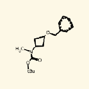 CN(C(=O)OC(C)(C)C)[C@H]1C[C@H](OCc2ccccc2)C1